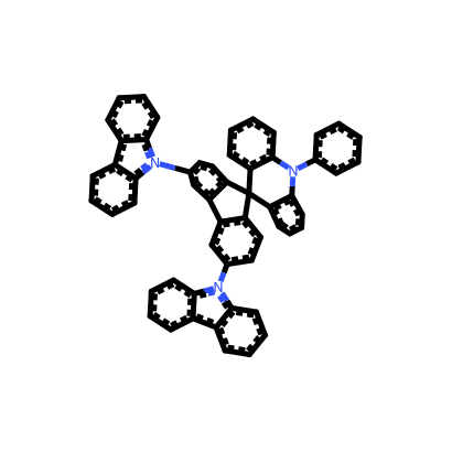 c1ccc(N2c3ccccc3C3(c4ccc(-n5c6ccccc6c6ccccc65)cc4-c4cc(-n5c6ccccc6c6ccccc65)ccc43)c3ccccc32)cc1